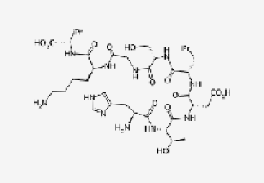 CC(C)C[C@H](NC(=O)[C@H](CC(=O)O)NC(=O)[C@@H](NC(=O)[C@@H](N)Cc1c[nH]cn1)[C@@H](C)O)C(=O)N[C@@H](CO)C(=O)NCC(=O)N[C@@H](CCCCN)C(=O)N[C@H](C(=O)O)C(C)C